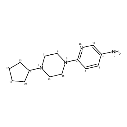 Nc1ccc(N2CCN(C3CCCC3)CC2)nc1